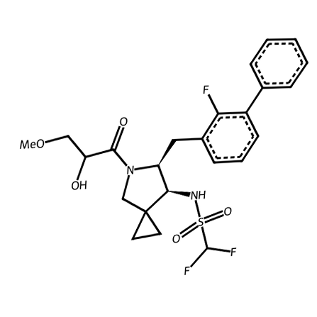 COCC(O)C(=O)N1CC2(CC2)[C@H](NS(=O)(=O)C(F)F)[C@@H]1Cc1cccc(-c2ccccc2)c1F